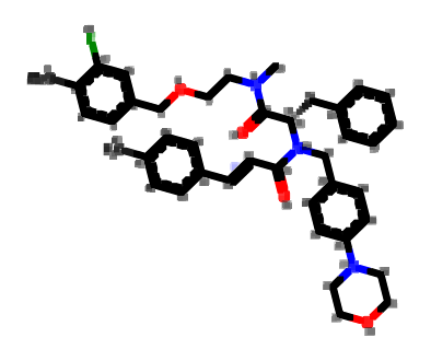 COc1ccc(COCCN(C)C(=O)[C@H](Cc2ccccc2)N(Cc2ccc(N3CCOCC3)cc2)C(=O)/C=C/c2ccc(C(F)(F)F)cc2)cc1F